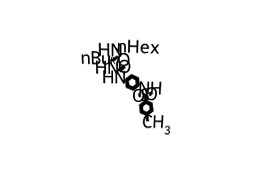 CCCCCCNC(=O)[C@@H](CCCC)NC(=O)Nc1ccc(NS(=O)(=O)c2ccc(C)cc2)cc1